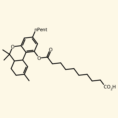 CCCCCc1cc(OC(=O)CCCCCCCCC(=O)O)c2c(c1)OC(C)(C)C1CCC(C)=CC21